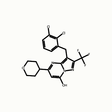 Oc1cc(C2CCOCC2)nc2c(Cc3cccc(Cl)c3Cl)c(C(F)(F)F)nn12